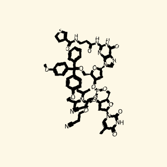 COc1ccc(C(OC[C@H]2O[C@@H](n3cnc4c(=O)[nH]c(NC(=O)CCNC(=O)C5=CSCC5)nc43)CC2OP(OCCC#N)OC[C@H]2O[C@@H](n3cc(C)c(=O)[nH]c3=O)CC2OP(OCCC#N)N(C(C)C)C(C)C)(c2ccccc2)c2ccc(OC)cc2)cc1